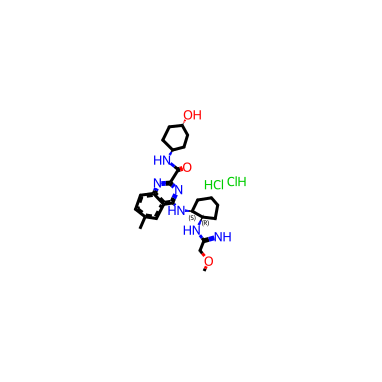 COCC(=N)N[C@@H]1CCCC[C@@H]1Nc1nc(C(=O)N[C@H]2CC[C@H](O)CC2)nc2ccc(C)cc12.Cl.Cl